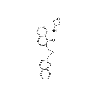 O=c1c2c(NC3COC3)cccc2ccn1C1CC1c1ccc2ccccc2n1